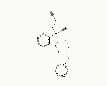 N#CCCC(C#N)(c1cccnc1)C1CCN(Cc2ccccc2)CC1